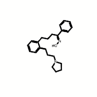 ON=C(CCCc1ccccc1CCCN1CCCC1)c1ccccc1